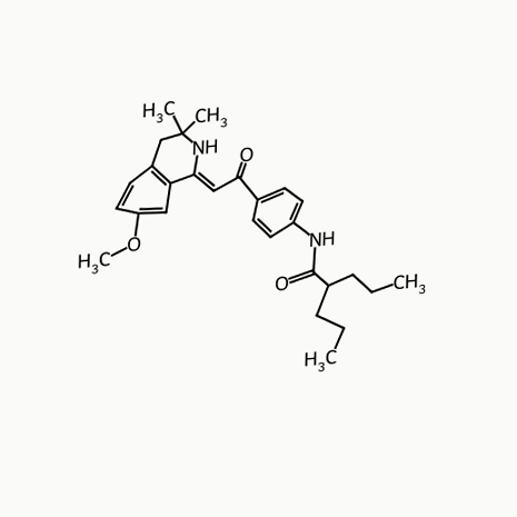 CCCC(CCC)C(=O)Nc1ccc(C(=O)C=C2NC(C)(C)Cc3ccc(OC)cc32)cc1